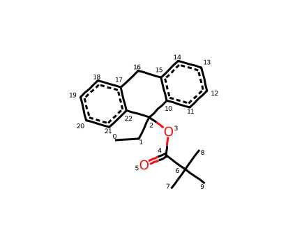 CCC1(OC(=O)C(C)(C)C)c2ccccc2Cc2ccccc21